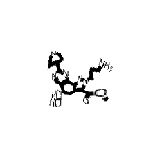 COC(=O)c1c2c(nn1CCCN)-c1nc(-c3ccncc3)ncc1CC2.Cl.Cl